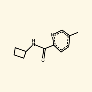 Cc1ccc(C(=O)NC2CCC2)nc1